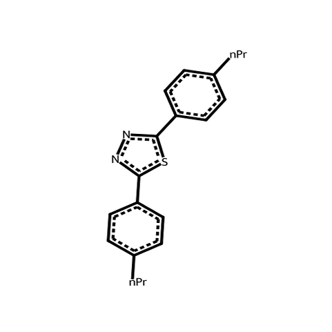 CCCc1ccc(-c2nnc(-c3ccc(CCC)cc3)s2)cc1